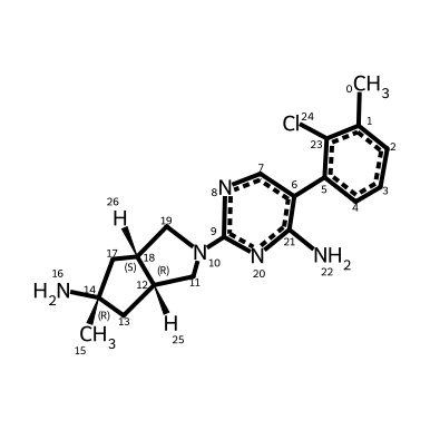 Cc1cccc(-c2cnc(N3C[C@@H]4C[C@](C)(N)C[C@@H]4C3)nc2N)c1Cl